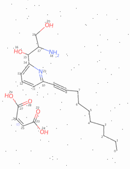 CCCCCCCCC#Cc1cccc(C(O)C(N)CO)n1.O=C(O)/C=C\C(=O)O